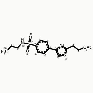 CC(=O)OCCc1nc(-c2ccc(S(=O)(=O)NCCC(F)(F)F)cc2)cs1